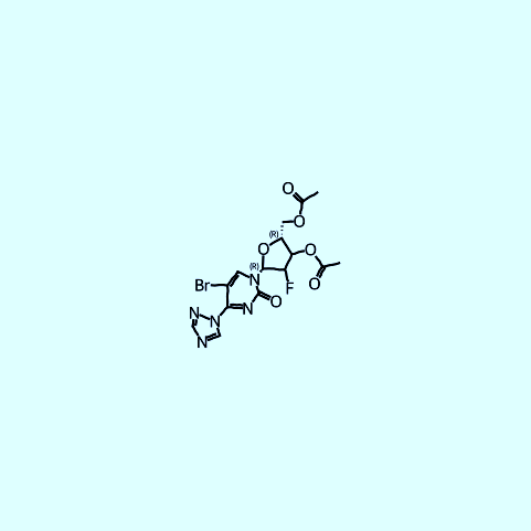 CC(=O)OC[C@H]1O[C@@H](n2cc(Br)c(-n3cncn3)nc2=O)C(F)C1OC(C)=O